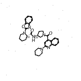 O=C(N[C@H]1CCN(C(=O)c2cc(N3CCCCC3)nc3ccccc23)C1)[C@@H]1CCCCN1c1nc2ccccc2o1